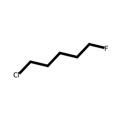 FCCCCCCl